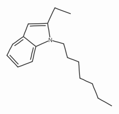 CCCCCCCn1c(CC)cc2ccccc21